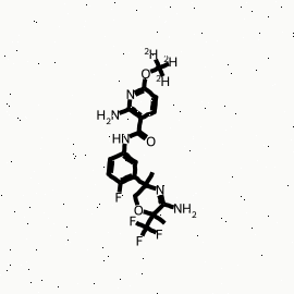 [2H]C([2H])([2H])Oc1ccc(C(=O)Nc2ccc(F)c(C3(C)COC(C)(C(F)(F)F)C(N)=N3)c2)c(N)n1